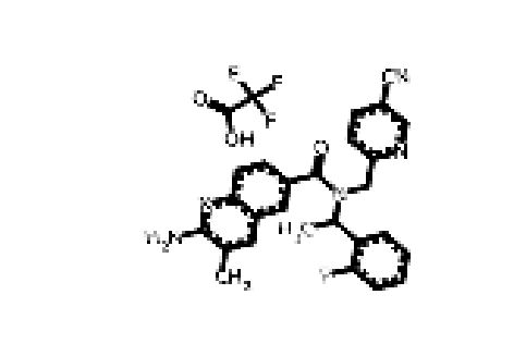 Cc1cc2cc(C(=O)N(Cc3ccc(C#N)cn3)C(C)c3ccccc3F)ccc2nc1N.O=C(O)C(F)(F)F